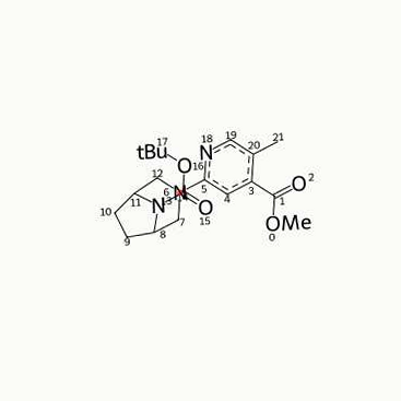 COC(=O)c1cc(N2CC3CCC(C2)N3C(=O)OC(C)(C)C)ncc1C